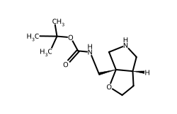 CC(C)(C)OC(=O)NC[C@@]12CNC[C@@H]1CCO2